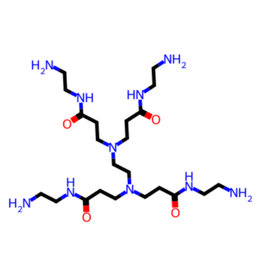 NCCNC(=O)CCN(CCC(=O)NCCN)CCN(CCC(=O)NCCN)CCC(=O)NCCN